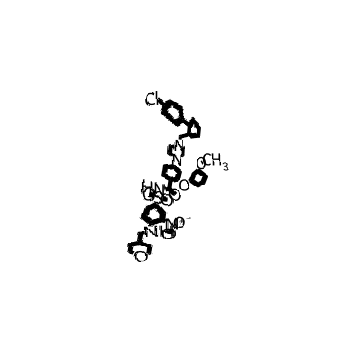 COc1cccc(Oc2cc(N3CCN(Cc4ccccc4-c4ccc(Cl)cc4)CC3)ccc2C(=O)NS(=O)(=O)c2ccc(NCC3CCOCC3)c([N+](=O)[O-])c2)c1